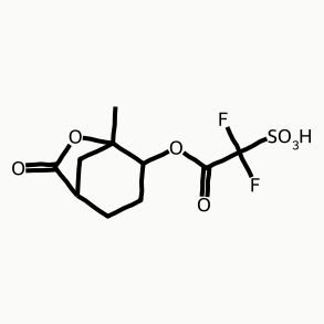 CC12CC(CCC1OC(=O)C(F)(F)S(=O)(=O)O)C(=O)O2